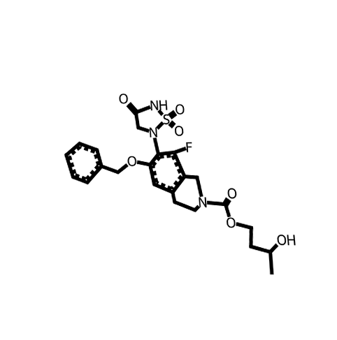 CC(O)CCOC(=O)N1CCc2cc(OCc3ccccc3)c(N3CC(=O)NS3(=O)=O)c(F)c2C1